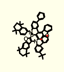 CC(C)(C)c1ccc(N2c3cc4oc5ccccc5c4c4c3B(c3oc5cc6c(cc5c32)C(C)(C)CCC6(C)C)N(c2ccc3c(c2)C(C)(C)CCC3(C)C)c2ccc(-c3ccccc3)cc2-4)c(-c2ccccc2)c1